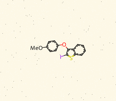 COc1ccc(Oc2c(I)sc3ccccc23)cc1